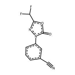 N#Cc1cccc(-n2nc(C(F)F)oc2=O)c1